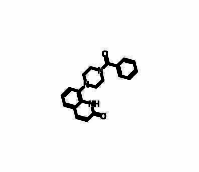 O=C(c1ccccc1)N1CCN(c2cccc3ccc(=O)[nH]c23)CC1